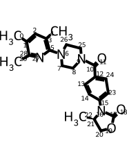 Cc1cc(C)c(N2CCN(C(=O)c3ccc(N4C(=O)OC[C@H]4C)cc3)CC2)nc1C